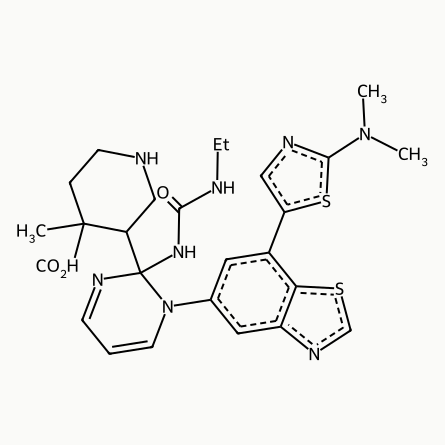 CCNC(=O)NC1(C2CNCCC2(C)C(=O)O)N=CC=CN1c1cc(-c2cnc(N(C)C)s2)c2scnc2c1